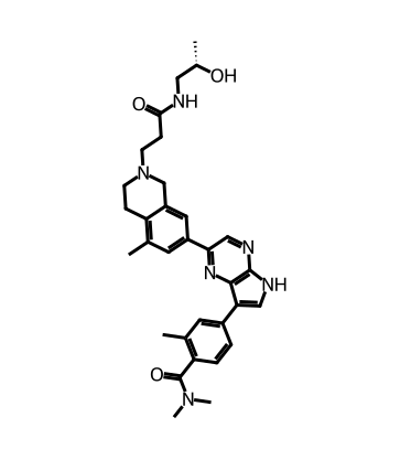 Cc1cc(-c2c[nH]c3ncc(-c4cc(C)c5c(c4)CN(CCC(=O)NC[C@H](C)O)CC5)nc23)ccc1C(=O)N(C)C